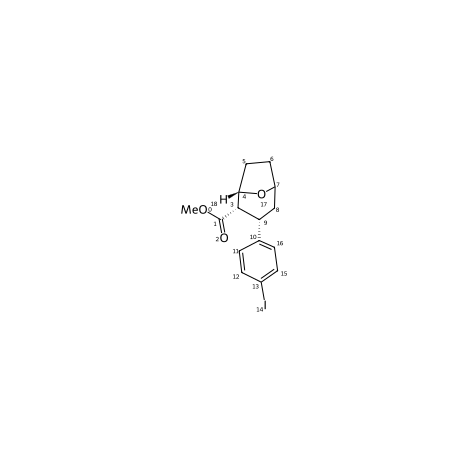 COC(=O)[C@@H]1[C@@H]2CCC(C[C@@H]1c1ccc(I)cc1)O2